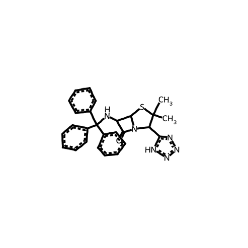 CC1(C)SC2C(NC(c3ccccc3)(c3ccccc3)c3ccccc3)C(=O)N2C1c1nnn[nH]1